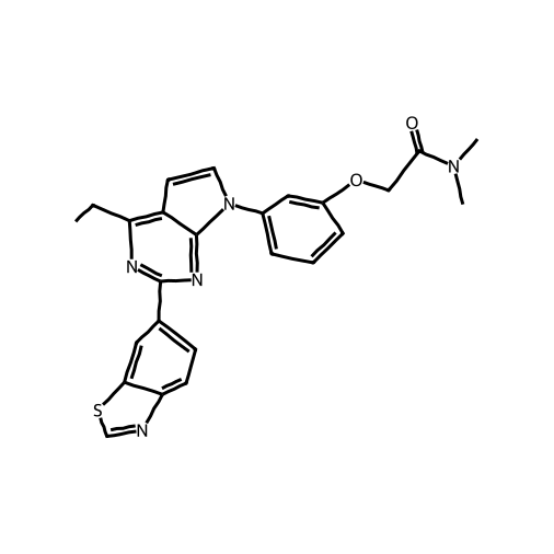 CCc1nc(-c2ccc3ncsc3c2)nc2c1ccn2-c1cccc(OCC(=O)N(C)C)c1